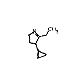 CCC1=NCCC1C1CC1